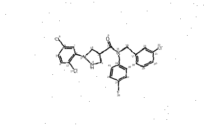 O=C(C1CNN(c2cc(Cl)ccc2Cl)C1)N(Cc1cccc(Cl)c1)c1ccc(F)cc1